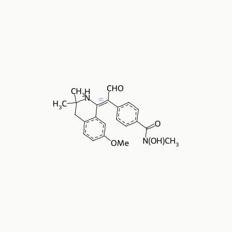 COc1ccc2c(c1)/C(=C(/C=O)c1ccc(C(=O)N(C)O)cc1)NC(C)(C)C2